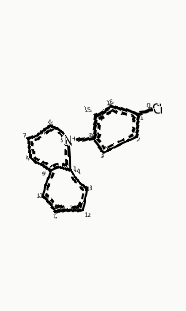 Clc1ccc(-[n+]2cccc3ccccc32)cc1